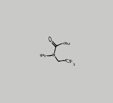 CC(C)N(CC(F)(F)F)C(=O)C(C)(C)C